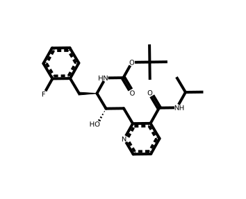 CC(C)NC(=O)c1cccnc1C[C@H](O)[C@@H](Cc1ccccc1F)NC(=O)OC(C)(C)C